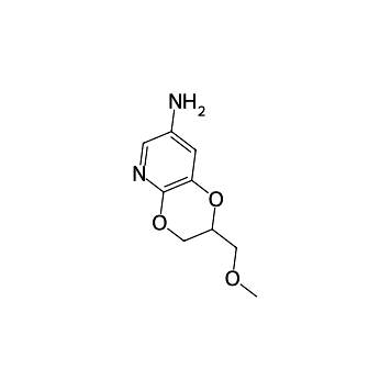 COCC1COc2ncc(N)cc2O1